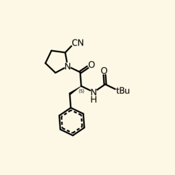 CC(C)(C)C(=O)N[C@@H](Cc1ccccc1)C(=O)N1CCCC1C#N